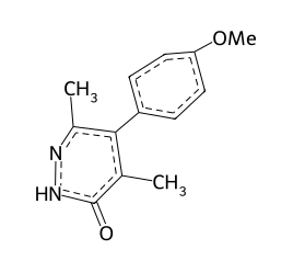 COc1ccc(-c2c(C)n[nH]c(=O)c2C)cc1